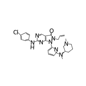 C=CCn1c(=O)c2cnc(Nc3ccc(Cl)cc3)nc2n1-c1cccc(N(C)[C@@H]2CCCN(C)C2)n1